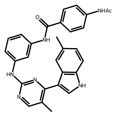 CC(=O)Nc1ccc(C(=O)Nc2cccc(Nc3ncc(C)c(-c4c[nH]c5ccc(C)cc45)n3)c2)cc1